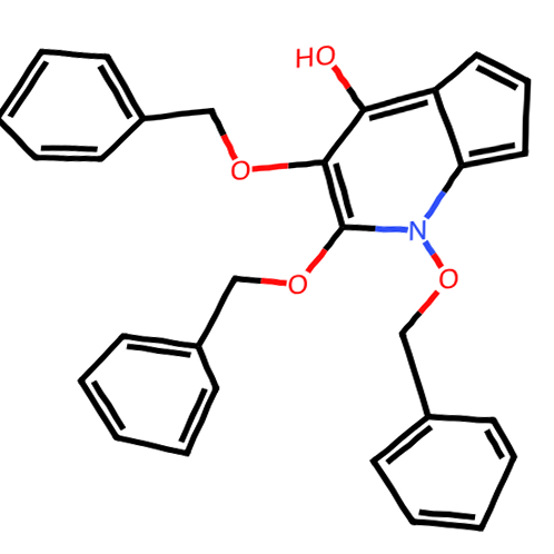 Oc1c2cccc-2n(OCc2ccccc2)c(OCc2ccccc2)c1OCc1ccccc1